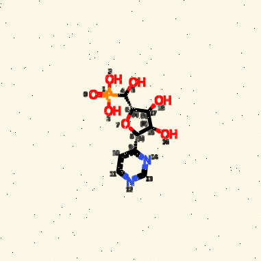 O=P(O)(O)C(O)[C@H]1O[C@@H](c2ccncn2)[C@H](O)[C@@H]1O